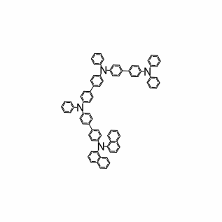 c1ccc(N(c2ccccc2)c2ccc(-c3ccc(N(c4ccccc4)c4ccc(-c5ccc(N(c6ccccc6)c6ccc(-c7ccc(N(c8cccc9ccccc89)c8cccc9ccccc89)cc7)cc6)cc5)cc4)cc3)cc2)cc1